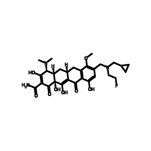 COc1c(CN(CCF)CC2CC2)cc(O)c2c1C[C@H]1C[C@H]3[C@H](N(C)C)C(O)=C(C(N)=O)C(=O)[C@@]3(O)C(O)=C1C2=O